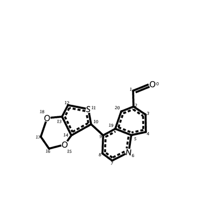 O=Cc1ccc2nccc(-c3scc4c3OCCO4)c2c1